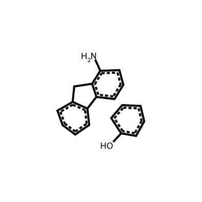 Nc1cccc2c1Cc1ccccc1-2.Oc1ccccc1